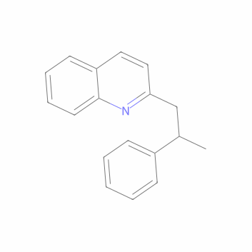 CC(Cc1ccc2ccccc2n1)c1ccccc1